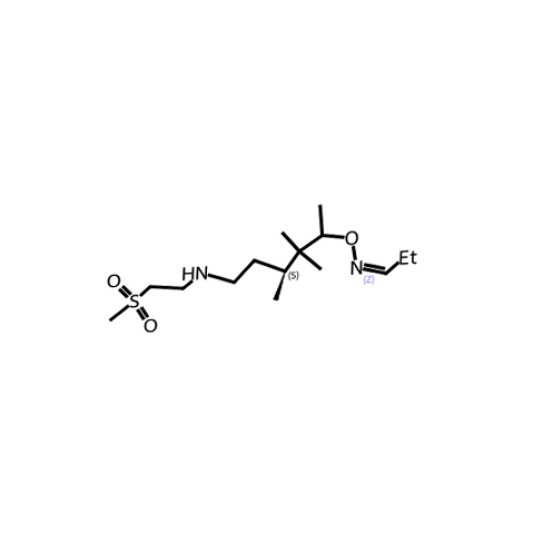 CC/C=N\OC(C)C(C)(C)[C@@H](C)CCNCCS(C)(=O)=O